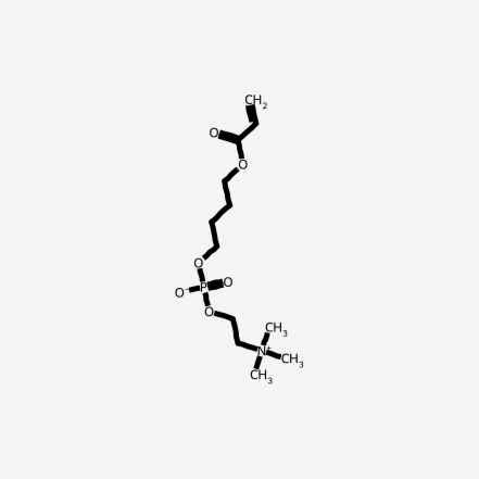 C=CC(=O)OCCCCOP(=O)([O-])OCC[N+](C)(C)C